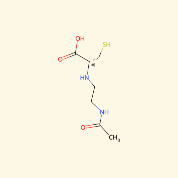 CC(=O)NCCN[C@@H](CS)C(=O)O